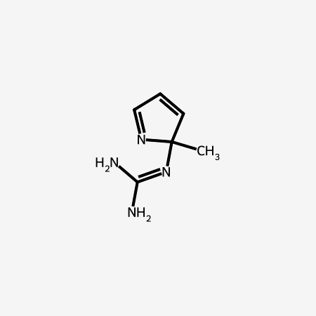 CC1(N=C(N)N)C=CC=N1